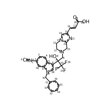 [C-]#[N+]c1ccc2c(C(O)(CN3CCn4cc(/C=C/C(=O)O)nc4C3)C(F)(F)F)cn(Cc3ccccc3)c2c1